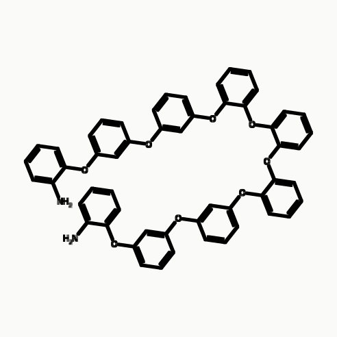 Nc1ccccc1Oc1cccc(Oc2cccc(Oc3ccccc3Oc3ccccc3Oc3ccccc3Oc3cccc(Oc4cccc(Oc5ccccc5N)c4)c3)c2)c1